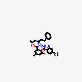 C=CC[C@@H](CCc1ccccc1)N(NC(=O)c1ccc(CC)cc1C)C(=O)c1cc(C)cc(C)c1